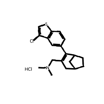 CN(C)CC1=C(c2ccc3scc(Cl)c3c2)C2CCC(C1)C2.Cl